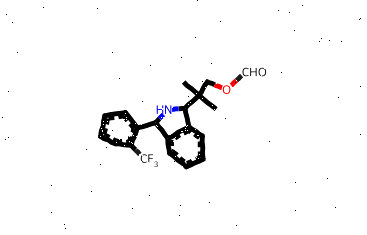 CC(C)(COC=O)C1NC(c2ccccc2C(F)(F)F)c2ccccc21